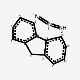 [N-]=[N+]=N.c1ccc2c(c1)Cc1ccccc1-2